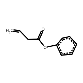 C=CCC(=O)Oc1[c]cccc1